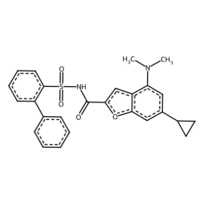 CN(C)c1cc(C2CC2)cc2oc(C(=O)NS(=O)(=O)c3ccccc3-c3ccccc3)cc12